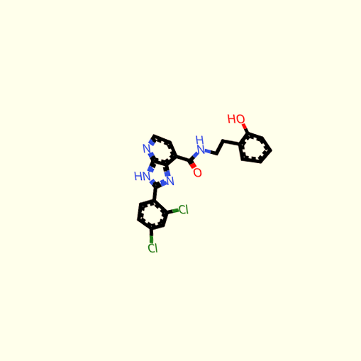 O=C(NCCc1ccccc1O)c1ccnc2[nH]c(-c3ccc(Cl)cc3Cl)nc12